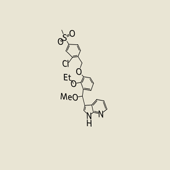 CCOc1c(OCc2ccc(S(C)(=O)=O)cc2Cl)cccc1C(OC)c1c[nH]c2ncccc12